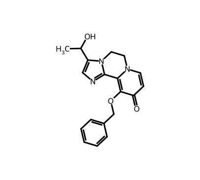 CC(O)c1cnc2n1CCn1ccc(=O)c(OCc3ccccc3)c1-2